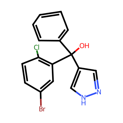 OC(c1ccccc1)(c1cn[nH]c1)c1cc(Br)ccc1Cl